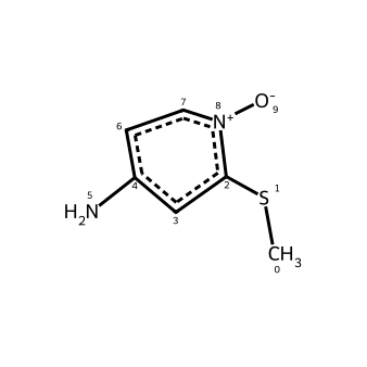 CSc1cc(N)cc[n+]1[O-]